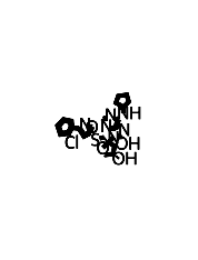 O[C@@H]1[C@@H](O)CO[C@]1(CSc1cc(-c2ccccc2Cl)no1)n1cnc2c(NC3CCCC3)ncnc21